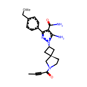 CC#CC(=O)N1CC[C@]2(C1)C[C@H](n1nc(-c3ccc(COC)cc3)c(C(N)=O)c1N)C2